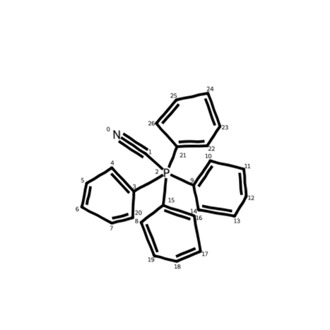 N#CP(c1ccccc1)(c1ccccc1)(c1ccccc1)c1ccccc1